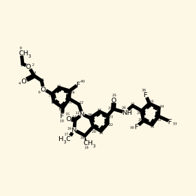 CCOC(=O)COc1cc(F)c(CN2C(=O)N(C)[C@@H](C)c3ccc(C(=O)NCc4c(F)cc(F)cc4F)cc32)c(F)c1